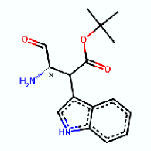 CC(C)(C)OC(=O)C(c1c[nH]c2ccccc12)[C@H](N)C=O